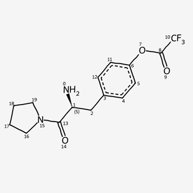 N[C@@H](Cc1ccc(OC(=O)C(F)(F)F)cc1)C(=O)N1CCCC1